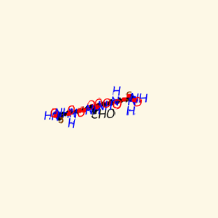 O=Cc1cc(C(=O)NCCCOCCCNC(=O)CCCCC2SCC3NC(=O)NC32)cc(C(=O)NCCOCCCNC(=O)CCCCC2SCC3NC(=O)NC32)c1